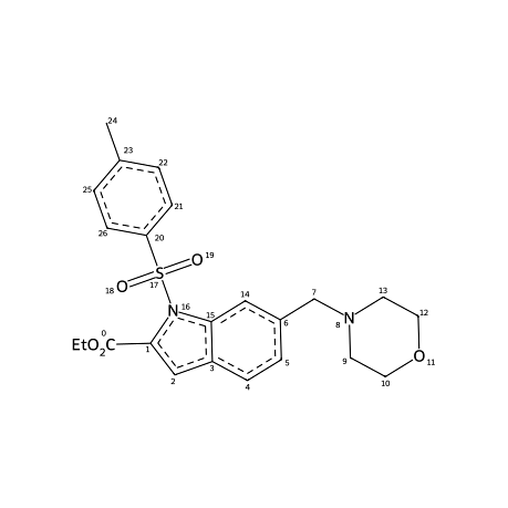 CCOC(=O)c1cc2ccc(CN3CCOCC3)cc2n1S(=O)(=O)c1ccc(C)cc1